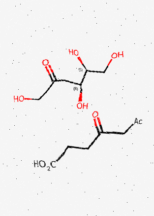 CC(=O)CC(=O)CCC(=O)O.O=C(CO)[C@H](O)[C@@H](O)CO